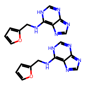 c1coc(CNc2[nH]cnc3ncnc2-3)c1.c1coc(CNc2[nH]cnc3ncnc2-3)c1